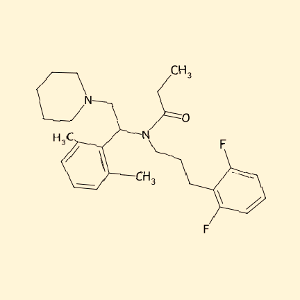 CCC(=O)N(CCCc1c(F)cccc1F)C(CN1CCCCC1)c1c(C)cccc1C